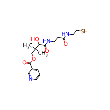 CC(C)(COC(=O)c1cccnc1)C(O)C(=O)NCCC(=O)NCCS